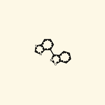 [c]1nc2c(-c3noc4ccccc34)cccc2s1